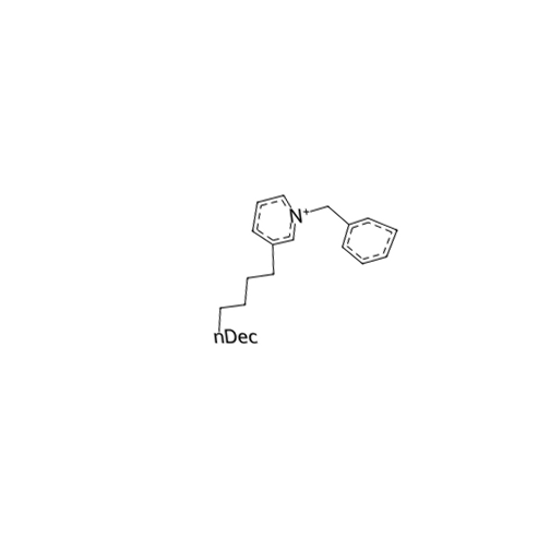 CCCCCCCCCCCCCCc1ccc[n+](Cc2ccccc2)c1